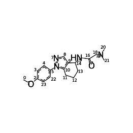 COc1ccc(-n2ncc3c2CCCC3NC(=O)CN(C)C)cc1